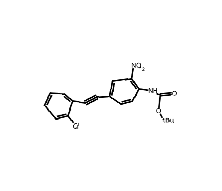 CC(C)(C)OC(=O)Nc1ccc(C#Cc2ccccc2Cl)cc1[N+](=O)[O-]